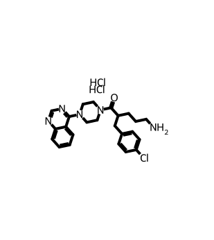 Cl.Cl.NCCCC(Cc1ccc(Cl)cc1)C(=O)N1CCN(c2ncnc3ccccc23)CC1